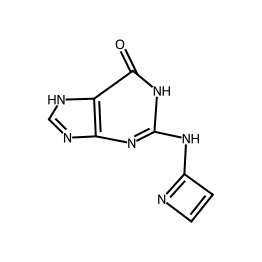 O=c1[nH]c(NC2=NC=C2)nc2nc[nH]c12